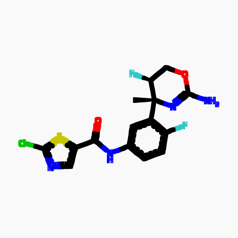 C[C@]1(c2cc(NC(=O)c3cnc(Cl)s3)ccc2F)N=C(N)OC[C@@H]1F